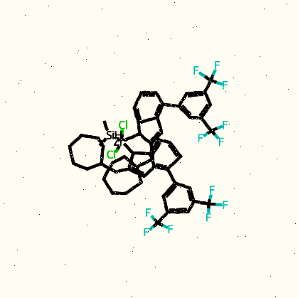 C[SiH](C)[Zr]([Cl])([Cl])([CH]1C(CC2CCCCCC2)=Cc2c(-c3cc(C(F)(F)F)cc(C(F)(F)F)c3)cccc21)[CH]1C(CC2CCCCCC2)=Cc2c(-c3cc(C(F)(F)F)cc(C(F)(F)F)c3)cccc21